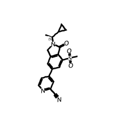 C[C@@H](C1CC1)N1Cc2cc(-c3ccnc(C#N)c3)cc(S(C)(=O)=O)c2C1=O